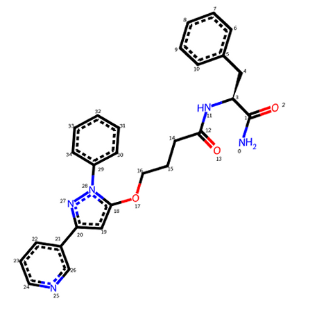 NC(=O)[C@H](Cc1ccccc1)NC(=O)CCCOc1cc(-c2cccnc2)nn1-c1ccccc1